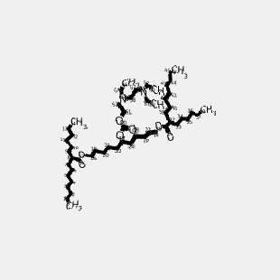 CCCCCCCCC(CCCCCC)C(=O)OCCCCCC(CCCCCOC(=O)C(CCCCCC)CCCCCCCC)OC(=O)OCCN(CC)CCN(CC)CC